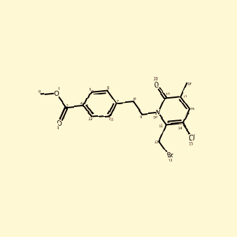 COC(=O)c1ccc(CCn2c(CBr)c(Cl)cc(C)c2=O)cc1